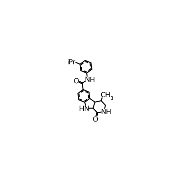 CC(C)c1cccc(NC(=O)c2ccc3c(c2)C2C(C)CNC(=O)C2N3)c1